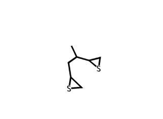 CC(CC1CS1)C1CS1